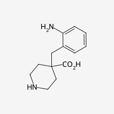 Nc1ccccc1CC1(C(=O)O)CCNCC1